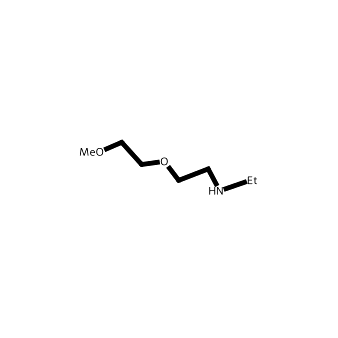 CCNCCOCCOC